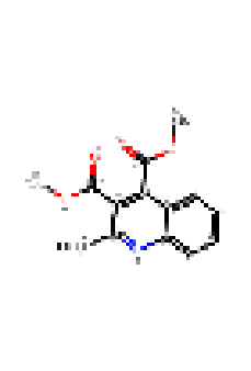 CCOC(=O)c1nc2ccccc2c(C(=O)OC(C)(C)C)c1C(=O)OC(C)(C)C